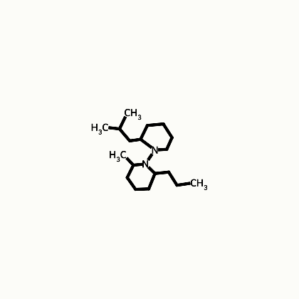 CCCC1CCCC(C)N1N1CCCCC1CC(C)C